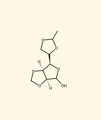 CC1OCC([C@H]2OC(O)[C@H]3OCO[C@H]32)O1